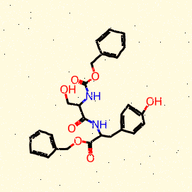 O=C(NC(CO)C(=O)NC(Cc1ccc(O)cc1)C(=O)OCc1ccccc1)OCc1ccccc1